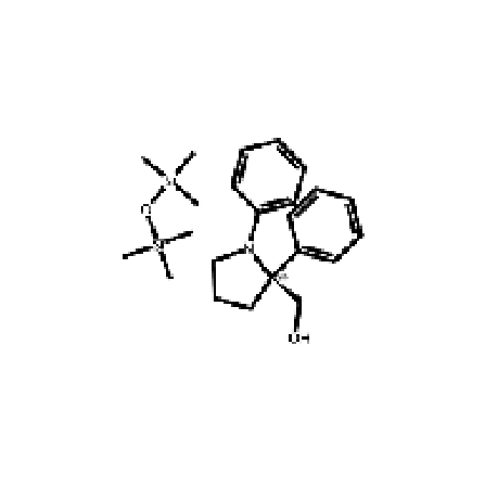 C[Si](C)(C)O[Si](C)(C)C.OC[C@@]1(c2ccccc2)CCCN1c1ccccc1